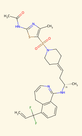 C=CC(F)(F)c1cccc2c1CC=CN=C2N[C@@H](C)CC=C1CCN(S(=O)(=O)c2sc(NC(C)=O)nc2C)CC1